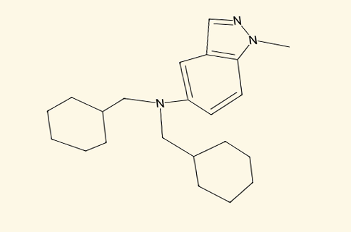 Cn1ncc2cc(N(CC3CCCCC3)CC3CCCCC3)ccc21